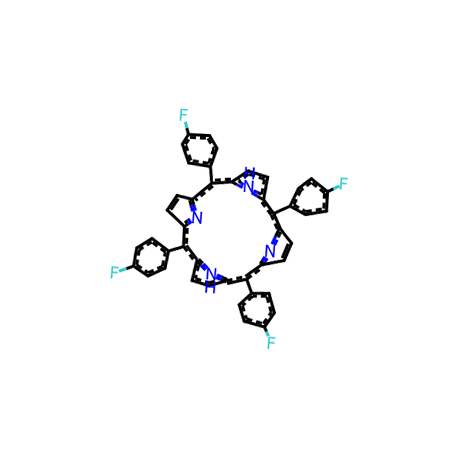 Fc1ccc(-c2c3nc(c(-c4ccc(F)cc4)c4ccc([nH]4)c(-c4ccc(F)cc4)c4nc(c(-c5ccc(F)cc5)c5ccc2[nH]5)C=C4)C=C3)cc1